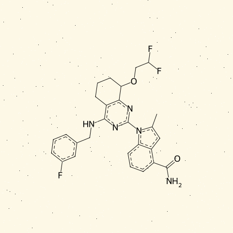 Cc1cc2c(C(N)=O)cccc2n1-c1nc(NCc2cccc(F)c2)c2c(n1)C(OCC(F)F)CCC2